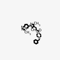 Cc1nn(-c2ccc3nnc(C)n3c2)c(C)c1CCC(=O)N1CCN(Cc2ccccc2)CC1